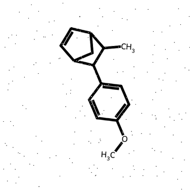 COc1ccc(C2C3C=CC(C3)C2C)cc1